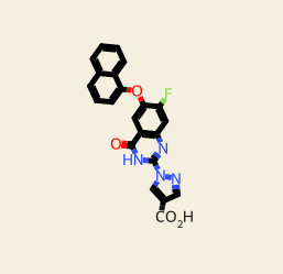 O=C(O)c1cnn(-c2nc3cc(F)c(Oc4cccc5ccccc45)cc3c(=O)[nH]2)c1